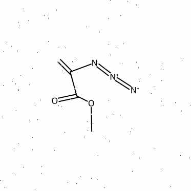 C=C(N=[N+]=[N-])C(=O)OC